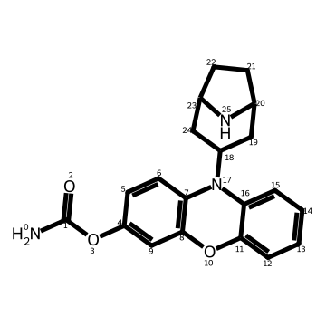 NC(=O)Oc1ccc2c(c1)Oc1ccccc1N2C1CC2CCC(C1)N2